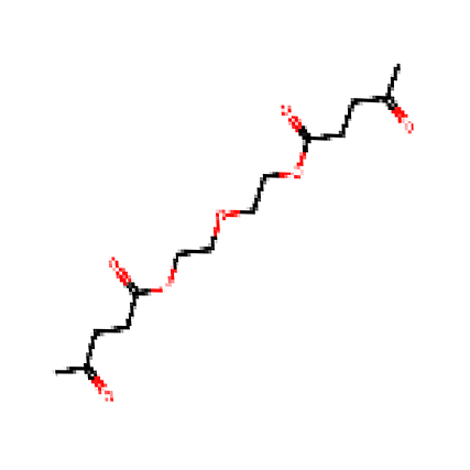 CC(=O)CCC(=O)OCCOCCOC(=O)CCC(C)=O